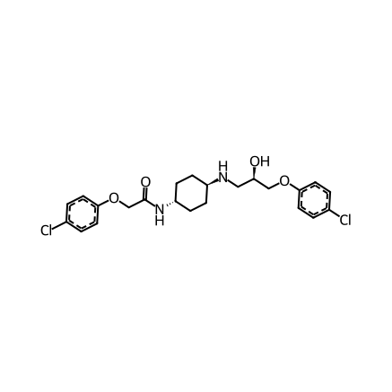 O=C(COc1ccc(Cl)cc1)N[C@H]1CC[C@H](NC[C@@H](O)COc2ccc(Cl)cc2)CC1